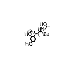 CCCC/C(=C(C)\C=C(\NC[C@@H](C)O)C(C)CC)c1ccc(O)cc1O